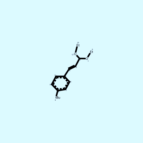 CCOC(C=Cc1ccc(C(C)(C)C)cc1)OCC